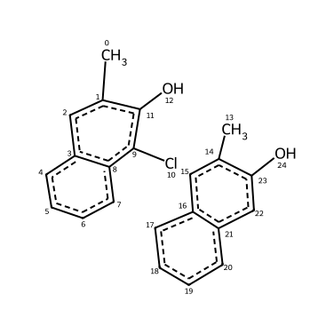 Cc1cc2ccccc2c(Cl)c1O.Cc1cc2ccccc2cc1O